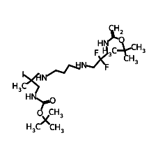 C=C(NCC(F)(F)CNCCCCNCC(C)(I)CNC(=O)OC(C)(C)C)OC(C)(C)C